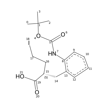 CC(C)(C)OC(=O)Nc1ccccc1C[C@@H](CCI)C(=O)O